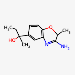 CCC(C)(O)c1ccc2c(c1)N=C(N)C(C)O2